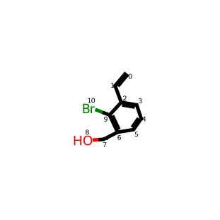 C=Cc1cccc([CH]O)c1Br